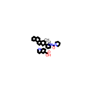 CC1(C)Cc2c(ccc3c2ccc2ccccc23)CC1c1cccc(NC(=O)N2CCCCC2)c1.O=C(O)c1ccc2ncccc2c1